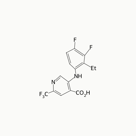 CCc1c(Nc2cnc(C(F)(F)F)cc2C(=O)O)ccc(F)c1F